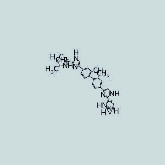 CC[C@H](NC(C)C)c1nc(-c2ccc(-c3ccc(-c4c[nH]c([C@@H]5C[C@H]6C[C@H]6N5)n4)cc3C)c(C)c2)c[nH]1